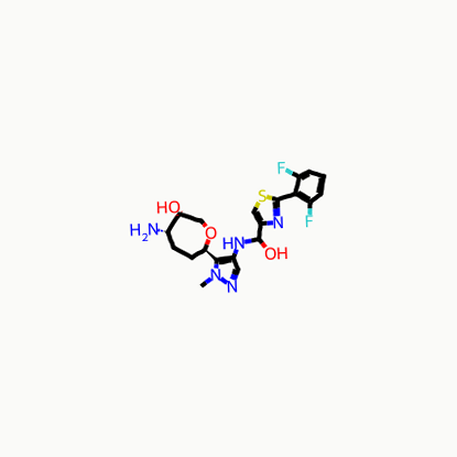 Cn1ncc(NC(O)c2csc(-c3c(F)cccc3F)n2)c1[C@H]1CC[C@H](N)[C@@H](O)CO1